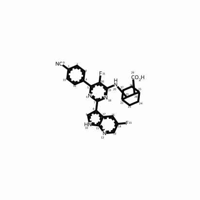 N#Cc1ccc(-c2nc(-c3c[nH]c4ncc(F)cc34)nc(NC3C4CCC(CC4)C3C(=O)O)c2F)cc1